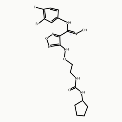 O=C(NCCONc1nonc1/C(=N/O)Nc1ccc(F)c(Br)c1)NC1CCCC1